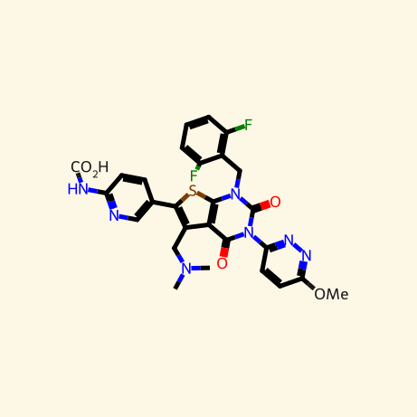 COc1ccc(-n2c(=O)c3c(CN(C)C)c(-c4ccc(NC(=O)O)nc4)sc3n(Cc3c(F)cccc3F)c2=O)nn1